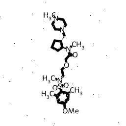 COc1cc(C)c(S(=O)(=O)N(C)CCOCC(=O)N(C)[C@H]2CCC[C@@H]2CN2CCN(C)CC2)c(C)c1